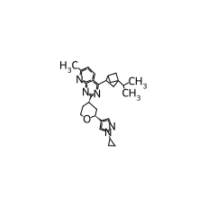 Cc1ccc2c(C3CC4(C(C)C)CC3C4)nc([C@@H]3CCO[C@H](c4cnn(C5CC5)c4)C3)nc2n1